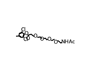 CC(=O)NCCOCCOCCOCCOCCC(=O)Oc1c(Cl)cc(C)cc1Cl